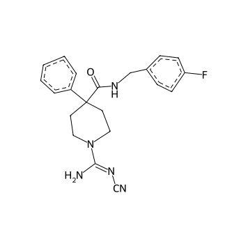 N#C/N=C(\N)N1CCC(C(=O)NCc2ccc(F)cc2)(c2ccccc2)CC1